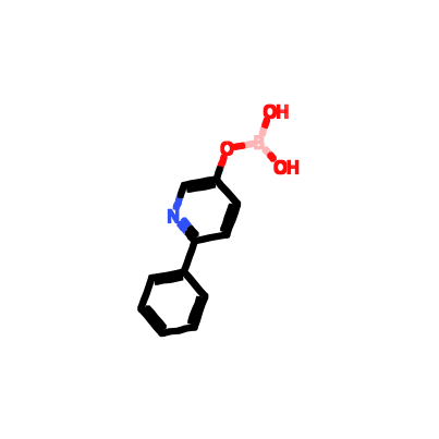 OB(O)Oc1ccc(-c2ccccc2)nc1